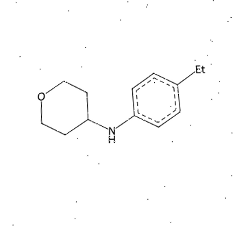 CCc1ccc(NC2CCOCC2)cc1